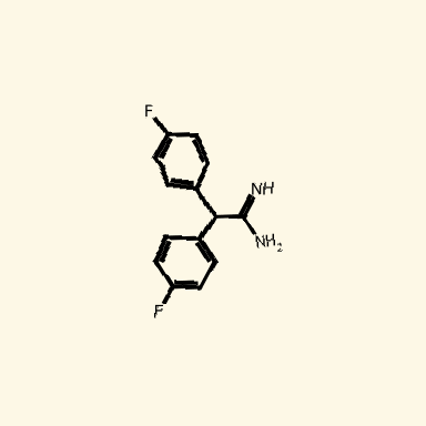 N=C(N)C(c1ccc(F)cc1)c1ccc(F)cc1